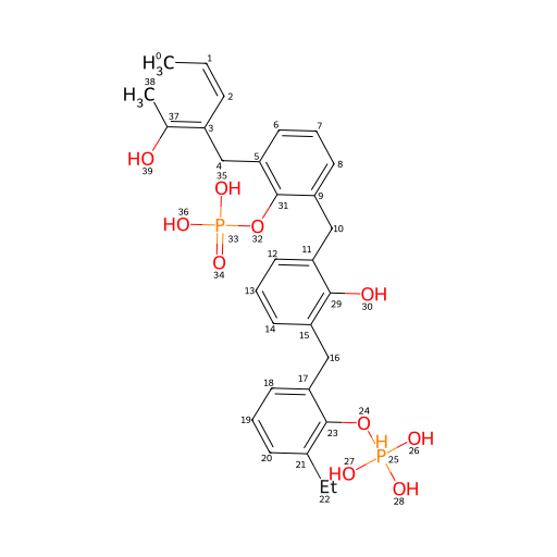 C/C=C\C(Cc1cccc(Cc2cccc(Cc3cccc(CC)c3O[PH](O)(O)O)c2O)c1OP(=O)(O)O)=C(/C)O